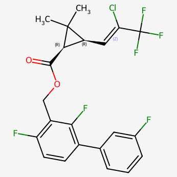 CC1(C)[C@H](C(=O)OCc2c(F)ccc(-c3cccc(F)c3)c2F)[C@@H]1/C=C(\Cl)C(F)(F)F